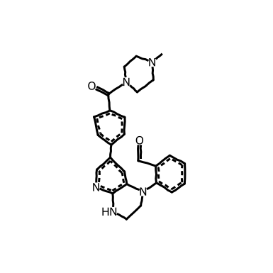 CN1CCN(C(=O)c2ccc(-c3cnc4c(c3)N(c3ccccc3C=O)CCN4)cc2)CC1